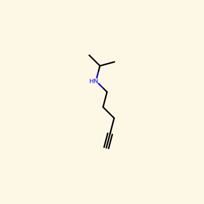 C#CCCCNC(C)C